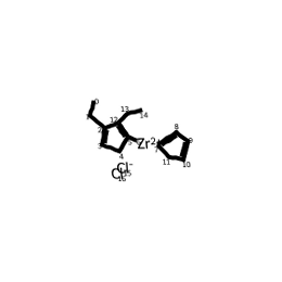 CCC1=CC[C]([Zr+2][C]2=CC=CC2)=C1CC.[Cl-].[Cl-]